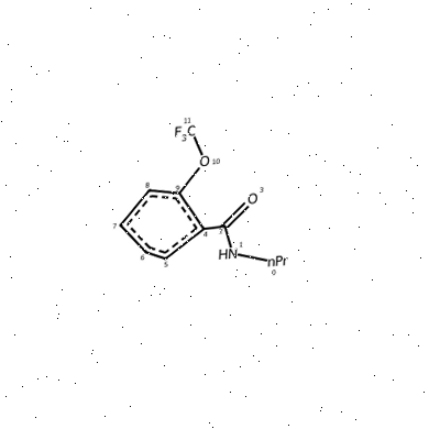 [CH2]CCNC(=O)c1ccccc1OC(F)(F)F